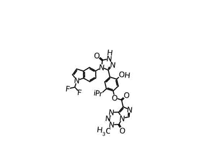 CC(C)c1cc(-c2n[nH]c(=O)n2-c2ccc3c(ccn3C(F)F)c2)c(O)cc1OC(=O)c1ncn2c(=O)n(C)nnc12